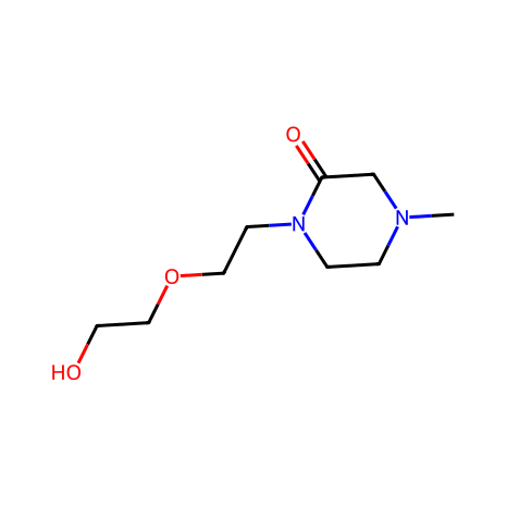 CN1CCN(CCOCCO)C(=O)C1